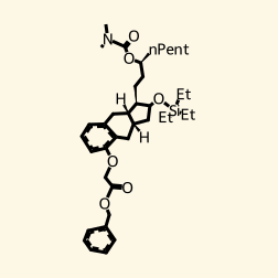 CCCCC[C@@H](CC[C@H]1C(O[Si](CC)(CC)CC)C[C@@H]2Cc3c(cccc3OCC(=O)OCc3ccccc3)C[C@@H]21)OC(=O)N(C)C